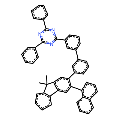 CC1(C)c2ccccc2-c2cc(-c3cccc4ccccc34)c(-c3cccc(-c4cccc(-c5nc(-c6ccccc6)nc(-c6ccccc6)n5)c4)c3)cc21